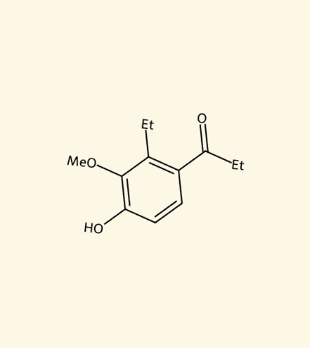 CCC(=O)c1ccc(O)c(OC)c1CC